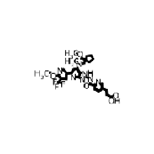 CCOc1ncc(-c2cc(N(C)CC3(COC)CCCC3)c3[nH]c(NC(=O)c4ccc(CCC(=O)O)cn4)nc3n2)cc1C(F)(F)F